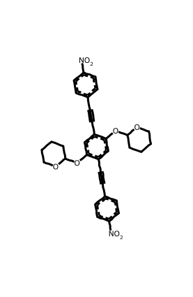 O=[N+]([O-])c1ccc(C#Cc2cc(OC3CCCCO3)c(C#Cc3ccc([N+](=O)[O-])cc3)cc2OC2CCCCO2)cc1